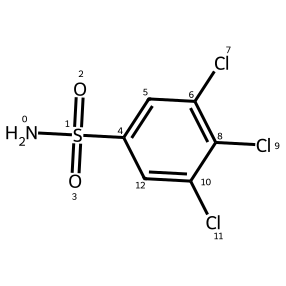 NS(=O)(=O)c1cc(Cl)c(Cl)c(Cl)c1